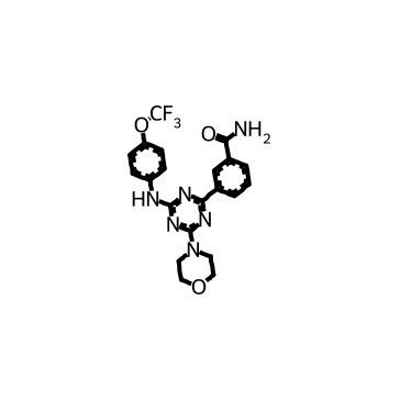 NC(=O)c1cccc(-c2nc(Nc3ccc(OC(F)(F)F)cc3)nc(N3CCOCC3)n2)c1